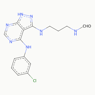 O=CNCCCNc1n[nH]c2ncnc(Nc3cccc(Cl)c3)c12